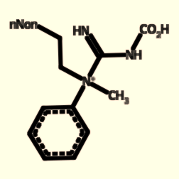 CCCCCCCCCCC[N+](C)(C(=N)NC(=O)O)c1ccccc1